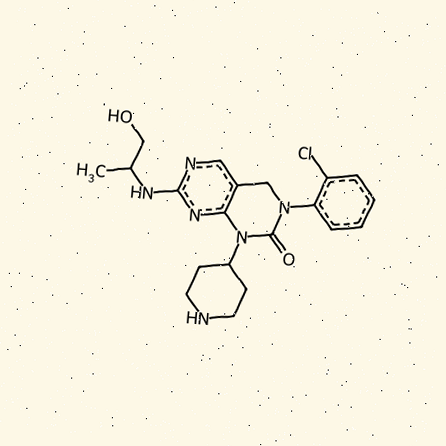 CC(CO)Nc1ncc2c(n1)N(C1CCNCC1)C(=O)N(c1ccccc1Cl)C2